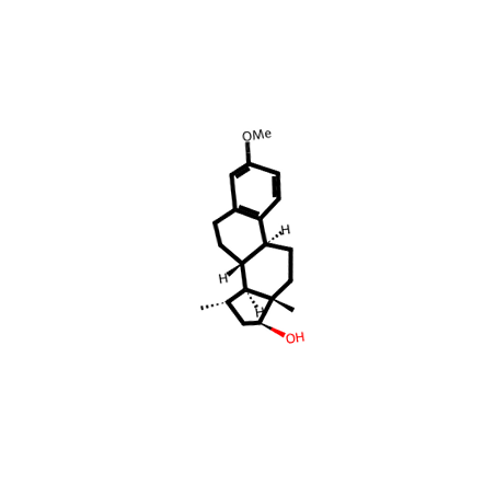 COc1ccc2c(c1)CC[C@H]1[C@@H]3[C@@H](C)C[C@H](O)[C@@]3(C)CC[C@H]21